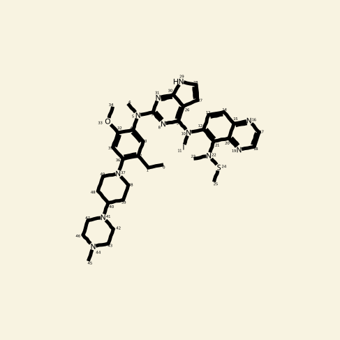 CCc1cc(N(C)c2nc(N(I)c3ccc4nccnc4c3N(C)SC)c3cc[nH]c3n2)c(OC)cc1N1CCC(N2CCN(C)CC2)CC1